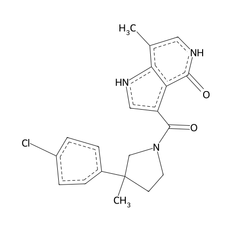 Cc1c[nH]c(=O)c2c(C(=O)N3CCC(C)(c4ccc(Cl)cc4)C3)c[nH]c12